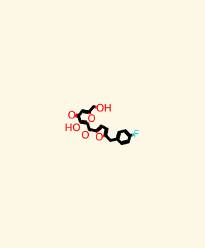 O=C(c1ccc(Cc2ccc(F)cc2)o1)c1oc(CO)cc(=O)c1O